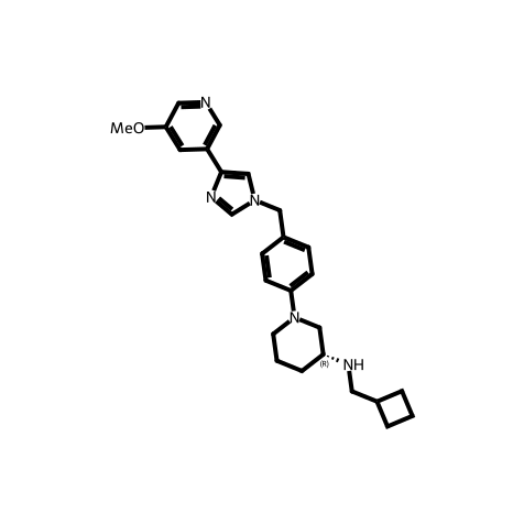 COc1cncc(-c2cn(Cc3ccc(N4CCC[C@@H](NCC5CCC5)C4)cc3)cn2)c1